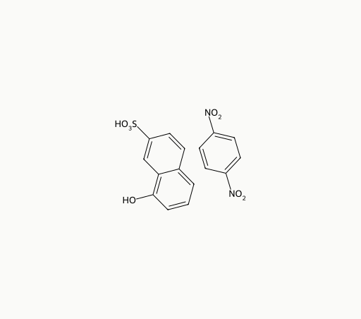 O=S(=O)(O)c1ccc2cccc(O)c2c1.O=[N+]([O-])c1ccc([N+](=O)[O-])cc1